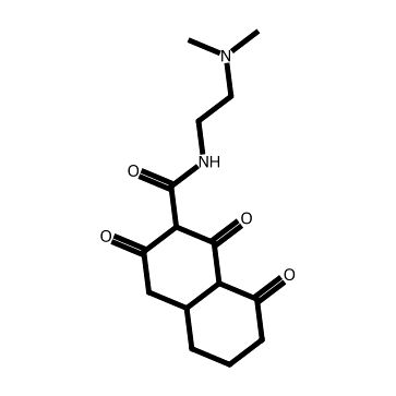 CN(C)CCNC(=O)C1C(=O)CC2CCCC(=O)C2C1=O